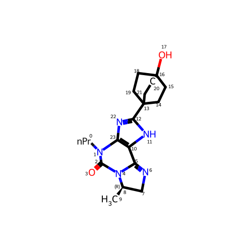 CCCN1C(=O)N2C(=NC[C@H]2C)c2[nH]c(C34CCC(O)(CC3)CC4)nc21